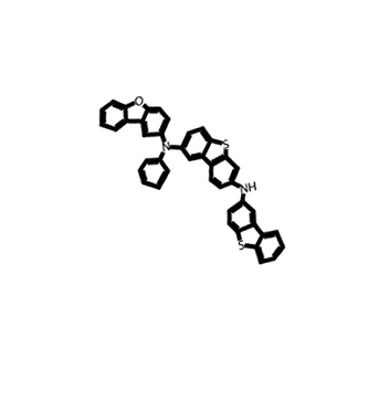 c1ccc(N(c2ccc3oc4ccccc4c3c2)c2ccc3sc4cc(Nc5ccc6sc7ccccc7c6c5)ccc4c3c2)cc1